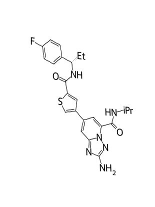 CC[C@H](NC(=O)c1cc(-c2cc(C(=O)NC(C)C)n3nc(N)nc3c2)cs1)c1ccc(F)cc1